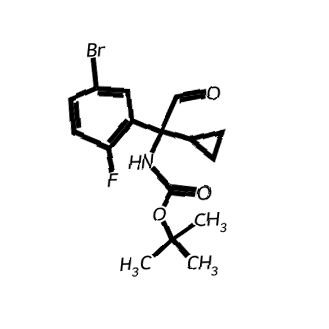 CC(C)(C)OC(=O)NC(C=O)(c1cc(Br)ccc1F)C1CC1